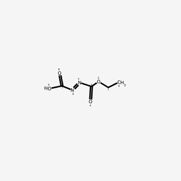 CCOC(=O)N=NC(=O)O